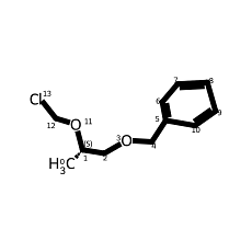 C[C@@H](COCc1ccccc1)OCCl